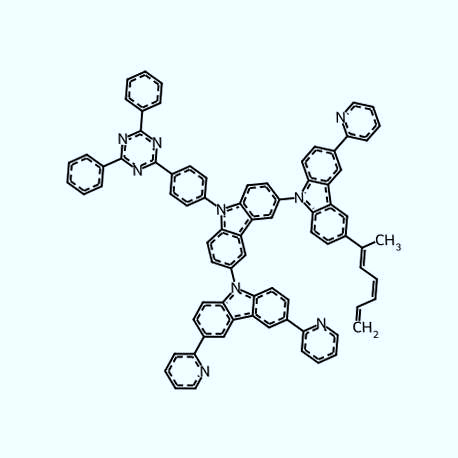 C=C/C=C\C=C(/C)c1ccc2c(c1)c1cc(-c3ccccn3)ccc1n2-c1ccc2c(c1)c1cc(-n3c4ccc(-c5ccccn5)cc4c4cc(-c5ccccn5)ccc43)ccc1n2-c1ccc(-c2nc(-c3ccccc3)nc(-c3ccccc3)n2)cc1